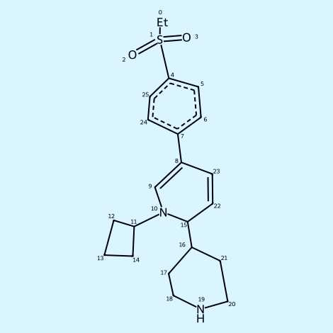 CCS(=O)(=O)c1ccc(C2=CN(C3CCC3)C(C3CCNCC3)C=C2)cc1